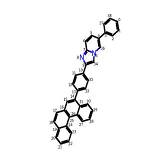 c1ccc(-c2ccc3nc(-c4ccc(-c5cc6ccc7ccccc7c6c6ccccc56)cc4)cn3c2)cc1